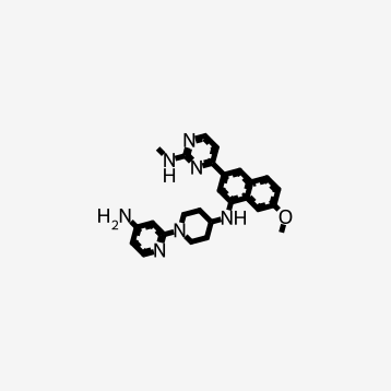 CNc1nccc(-c2cc(NC3CCN(c4cc(N)ccn4)CC3)c3cc(OC)ccc3c2)n1